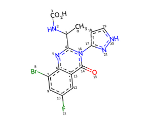 CC(NC(=O)O)c1nc2c(Br)cc(F)cc2c(=O)n1-c1cc[nH]n1